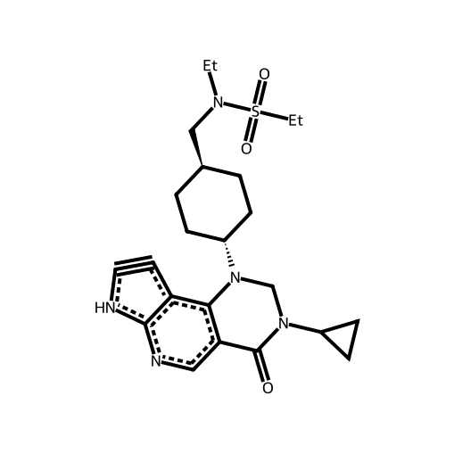 CCN(C[C@H]1CC[C@H](N2CN(C3CC3)C(=O)c3cnc4[nH]c#cc4c32)CC1)S(=O)(=O)CC